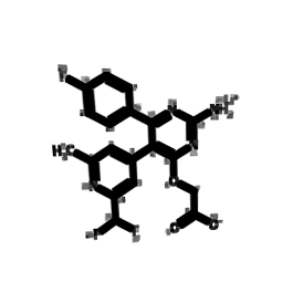 Cc1cc(-c2c(OCC(=O)[O-])nc(N)nc2-c2ccc(F)cc2)cc(C(F)F)n1.[Li+]